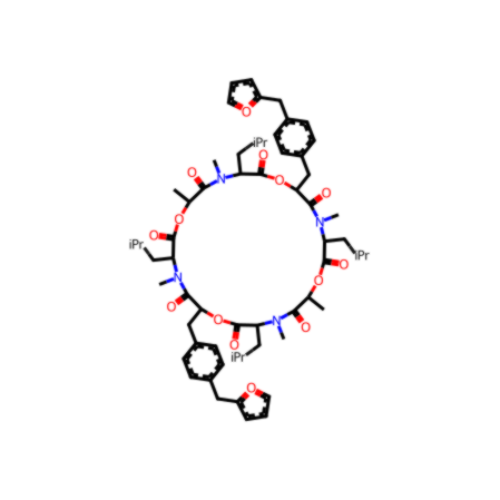 CC(C)CC1C(=O)OC(Cc2ccc(Cc3ccco3)cc2)C(=O)N(C)C(CC(C)C)C(=O)OC(C)C(=O)N(C)C(CC(C)C)C(=O)OC(Cc2ccc(Cc3ccco3)cc2)C(=O)N(C)C(CC(C)C)C(=O)OC(C)C(=O)N1C